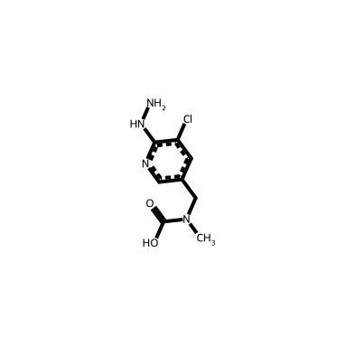 CN(Cc1cnc(NN)c(Cl)c1)C(=O)O